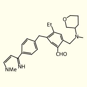 CCc1cc(CN(C)C2CCCOC2)c(C=O)cc1Cc1ccc(C(=N)/C=C\NC)cc1